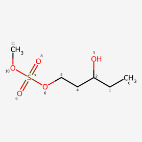 CCC(O)CCOS(=O)(=O)OC